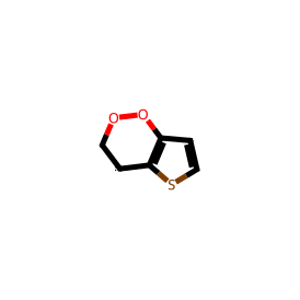 [C]1COOc2ccsc21